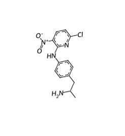 CC(N)Cc1ccc(Nc2nc(Cl)ccc2[N+](=O)[O-])cc1